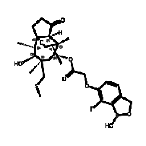 CSC[C@]1(C)C[C@@H](OC(=O)COc2ccc3c(c2F)B(O)OC3)[C@]2(C)[C@H](C)CC[C@]3(CCC(=O)[C@H]32)[C@@H](C)[C@@H]1O